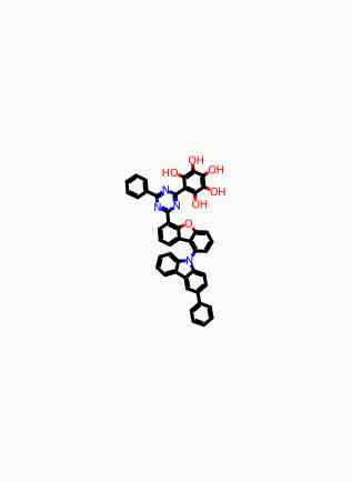 Oc1c(O)c(O)c(-c2nc(-c3ccccc3)nc(-c3cccc4c3oc3cccc(-n5c6ccccc6c6cc(-c7ccccc7)ccc65)c34)n2)c(O)c1O